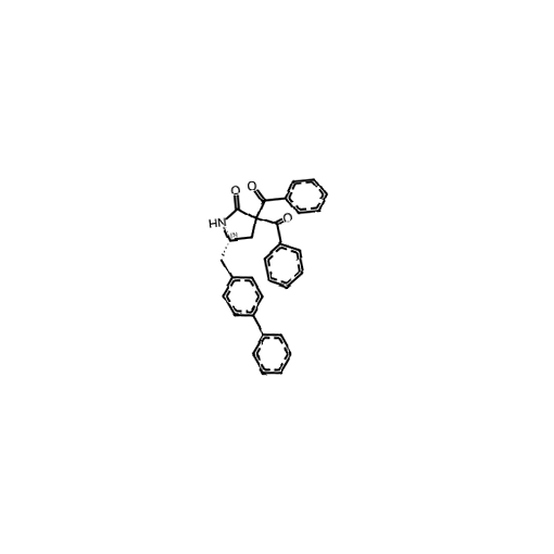 O=C1N[C@@H](Cc2ccc(-c3ccccc3)cc2)CC1(C(=O)c1ccccc1)C(=O)c1ccccc1